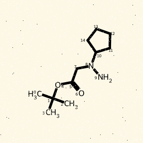 CC(C)(C)OC(=O)CN(N)C1CCCC1